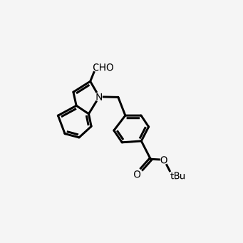 CC(C)(C)OC(=O)c1ccc(Cn2c(C=O)cc3ccccc32)cc1